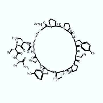 CC[C@H](C)[C@H](NC(=O)[C@H](CC(C)C)NC(=O)[C@@H](CN)NC(=O)[C@@H]1CSSC[C@H](NC(C)=O)C(=O)N2CCC[C@H]2C(=O)N2CCC[C@H]2C(=O)N[C@@H](Cc2ccc(O)cc2)C(=O)N[C@@H](CC(C)C)C(=O)N2CCC[C@H]2C(=O)N[C@H](CN)C(=O)N[C@@H](Cc2ccc(O)cc2)C(=O)N[C@@H](CC(C)C)C(=O)N1)C(N)=O